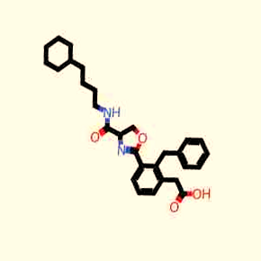 O=C(O)Cc1cccc(C2=NC(C(=O)NCCCCC3CCCCC3)CO2)c1Cc1ccccc1